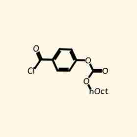 CCCCCCCCOC(=O)Oc1ccc(C(=O)Cl)cc1